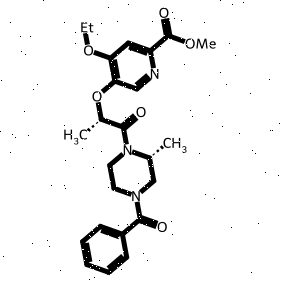 CCOc1cc(C(=O)OC)ncc1O[C@@H](C)C(=O)N1CCN(C(=O)c2ccccc2)C[C@H]1C